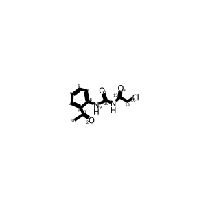 CC(=O)c1ccccc1NC(=O)NC(=O)CCl